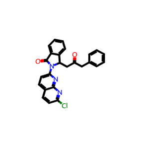 O=C(Cc1ccccc1)CC1c2ccccc2C(=O)N1c1ccc2ccc(Cl)nc2n1